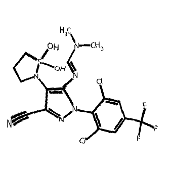 CN(C)C=Nc1c(N2CCCS2(O)O)c(C#N)nn1-c1c(Cl)cc(C(F)(F)F)cc1Cl